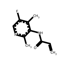 C=CC(=O)Nc1c(C)ncc(F)c1C